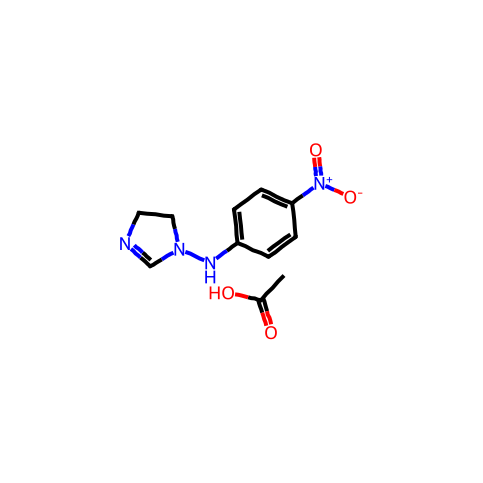 CC(=O)O.O=[N+]([O-])c1ccc(NN2C=NCC2)cc1